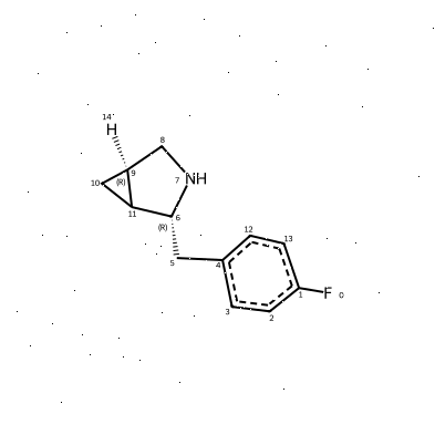 Fc1ccc(C[C@H]2NC[C@@H]3CC32)cc1